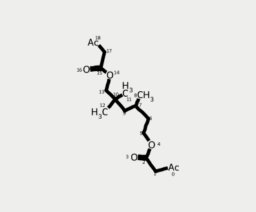 CC(=O)CC(=O)OCCC(C)CC(C)(C)COC(=O)CC(C)=O